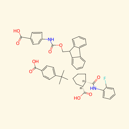 CC(C)(C)c1ccc(C(=O)O)cc1.O=C(Nc1ccc(C(=O)O)cc1)OCC1c2ccccc2-c2ccccc21.O=C(Nc1ccccc1F)[C@H]1CCCC[C@H]1C(=O)O